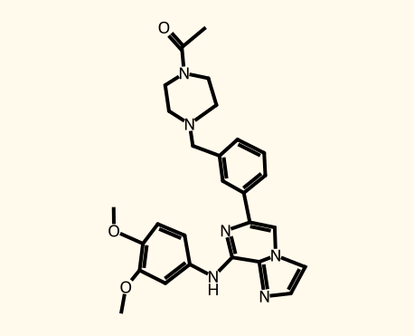 COc1ccc(Nc2nc(-c3cccc(CN4CCN(C(C)=O)CC4)c3)cn3ccnc23)cc1OC